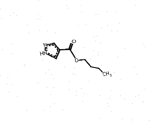 CCCCOC(=O)c1cn[nH]c1